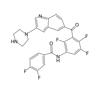 O=C(Nc1cc(F)c(F)c(C(=O)c2ccc3ncc(N4CCNCC4)cc3c2)c1F)c1ccc(F)c(F)c1